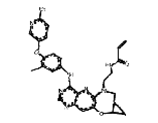 C=CC(=O)NCCN1CC2CC2Oc2cc3ncnc(Nc4ccc(Oc5ccc(CC)nc5)c(C)c4)c3nc21